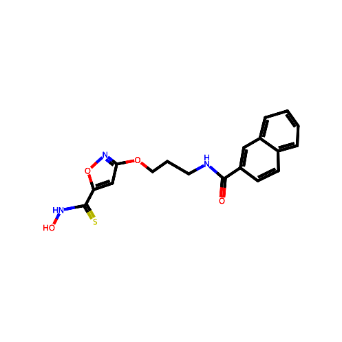 O=C(NCCCOc1cc(C(=S)NO)on1)c1ccc2ccccc2c1